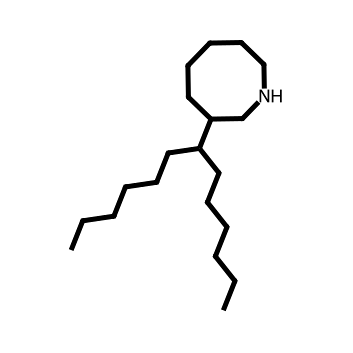 CCCCCCC(CCCCCC)C1CCCCCNC1